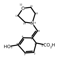 O=C(O)C1C=CC(O)=C/C1=C\N1CCOCC1